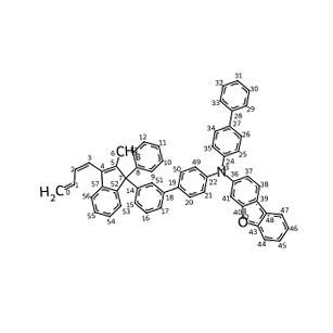 C=C/C=C\C1=C(C)C(c2ccccc2)(c2cccc(-c3ccc(N(c4ccc(-c5ccccc5)cc4)c4ccc5c(c4)oc4ccccc45)cc3)c2)c2ccccc21